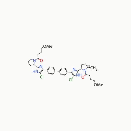 COCCCC(=O)N1CCCC1c1nc(-c2ccc(-c3ccc(-c4nc(C5CC[C@@H](C)N5C(=O)CCCOC)[nH]c4Cl)cc3)cc2)c(Cl)[nH]1